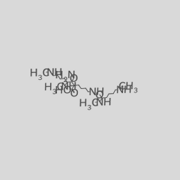 CNCCCCC(NC)OCNCCCCC(C(=O)O)C(ON)C(CCCCNC)NC